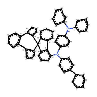 c1ccc(-c2ccc(N(c3ccc(N(c4ccccc4)c4ccccc4)cc3)c3cccc4c3-c3ccccc3C43c4ccccc4-c4ccccc4-c4ccccc43)cc2)cc1